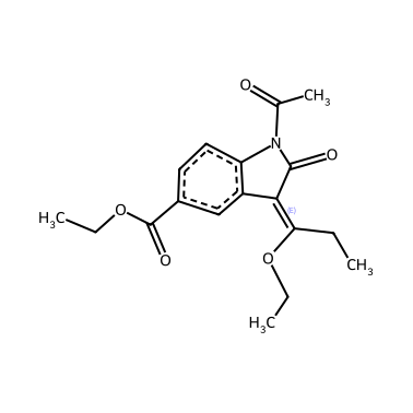 CCOC(=O)c1ccc2c(c1)/C(=C(/CC)OCC)C(=O)N2C(C)=O